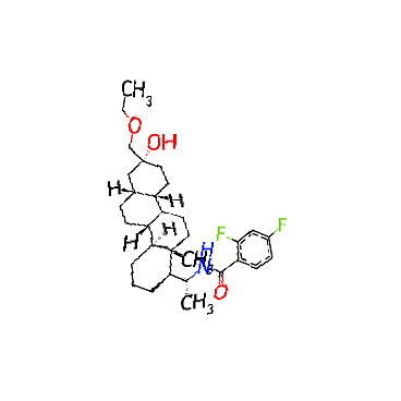 CCOC[C@@]1(O)CC[C@@H]2C3CC[C@]4(C)[C@@H]([C@@H](C)NC(=O)c5ccc(F)cc5F)CCC[C@H]4[C@@H]3CC[C@@H]2C1